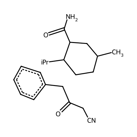 CC1CCC(C(C)C)C(C(N)=O)C1.N#CCC(=O)Cc1ccccc1